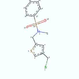 CN(Cc1cc(CBr)cs1)S(=O)(=O)c1ccccc1